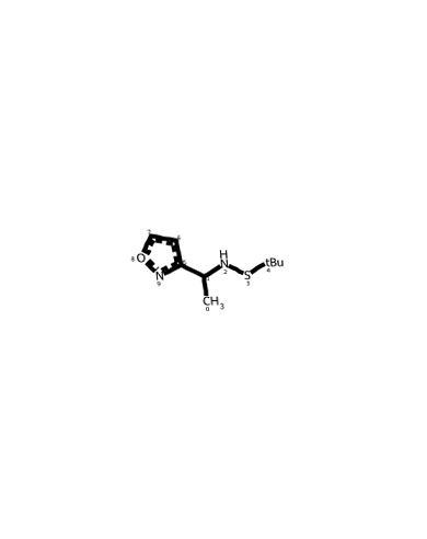 CC(NSC(C)(C)C)c1ccon1